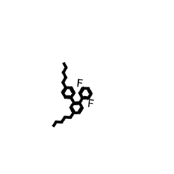 CCCCCc1ccc(-c2cc(CCCCC)ccc2-c2cc(F)ccc2F)cc1